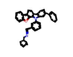 C(=N\Cc1ccccc1)/c1cccc(-n2c3cc(-c4ccccc4)ccc3c3ccc4c5ccccc5oc4c32)c1